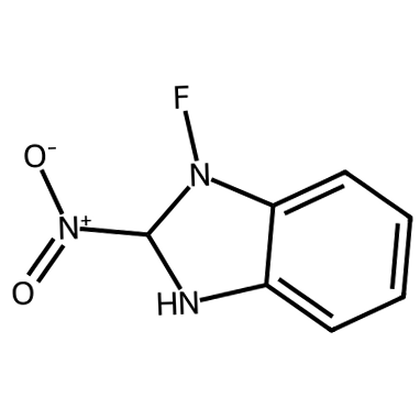 O=[N+]([O-])C1Nc2ccccc2N1F